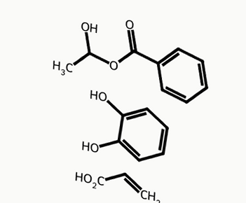 C=CC(=O)O.CC(O)OC(=O)c1ccccc1.Oc1ccccc1O